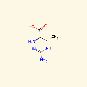 C[C@H](NC(=N)N)[C@@H](N)C(=O)O